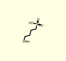 COCCCCS(=O)(=O)O